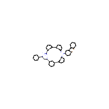 c1ccc(C2=NC3=NC(C2)c2cccc(c2)-c2cccc(c2)N(c2ccc4sc5ccccc5c4c2)c2cccc(c2)-c2cccc3c2)cc1